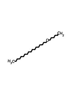 C=CCCCCOCCCCCCCCCCCCCCCCCC